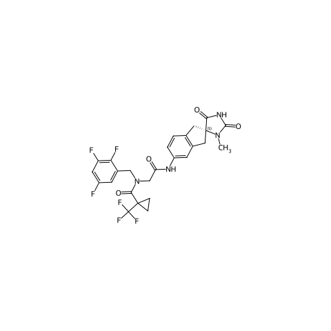 CN1C(=O)NC(=O)[C@@]12Cc1ccc(NC(=O)CN(Cc3cc(F)cc(F)c3F)C(=O)C3(C(F)(F)F)CC3)cc1C2